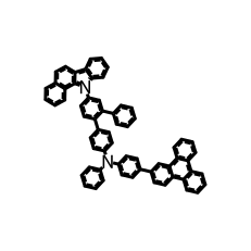 c1ccc(-c2cc(-n3c4ccccc4c4ccc5ccccc5c43)ccc2-c2ccc(N(c3ccccc3)c3ccc(-c4ccc5c6ccccc6c6ccccc6c5c4)cc3)cc2)cc1